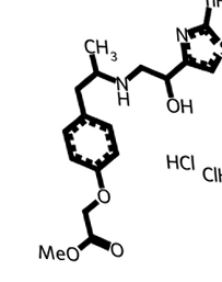 CCCc1nc(C(O)CNC(C)Cc2ccc(OCC(=O)OC)cc2)cs1.Cl.Cl